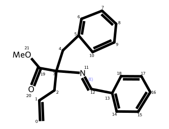 C=CCC(Cc1ccccc1)(/N=C/c1ccccc1)C(=O)OC